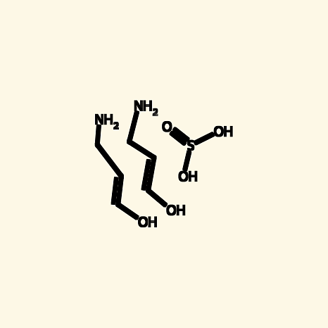 NCC=CO.NCC=CO.O=S(O)O